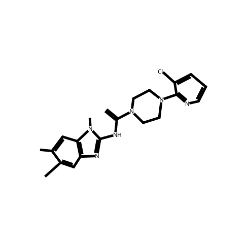 C=C(Nc1nc2cc(C)c(C)cc2n1C)N1CCN(c2ncccc2Cl)CC1